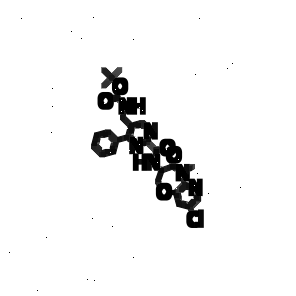 CN1C(=O)[C@@H](NC(=O)c2ncc(CNC(=O)OC(C)(C)C)c(-c3ccccc3)n2)COc2cc(Cl)cnc21